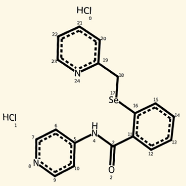 Cl.Cl.O=C(Nc1ccncc1)c1ccccc1[Se]Cc1ccccn1